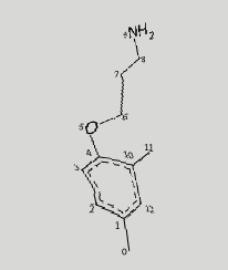 Cc1ccc(OCCCN)c(C)c1